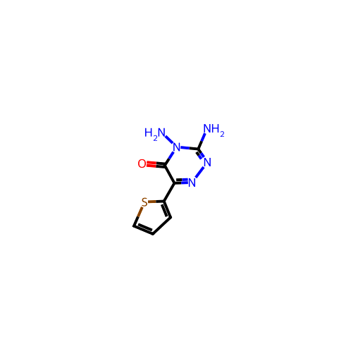 Nc1nnc(-c2cccs2)c(=O)n1N